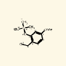 COc1ccc(CCl)c(O[Si](C)(C)C(C)(C)C)c1